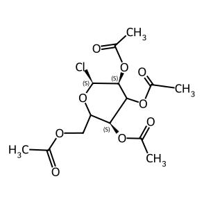 CC(=O)OCC1O[C@@H](Cl)[C@@H](OC(C)=O)C(OC(C)=O)[C@H]1OC(C)=O